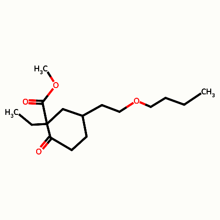 CCCCOCCC1CCC(=O)C(CC)(C(=O)OC)C1